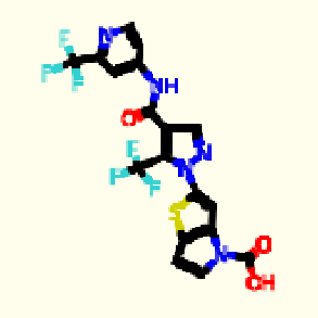 O=C(Nc1ccnc(C(F)(F)F)c1)c1cnn(-c2cc3c(ccn3C(=O)O)s2)c1C(F)(F)F